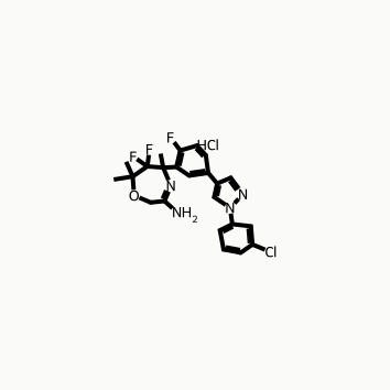 CC1(C)OCC(N)=NC(C)(c2cc(-c3cnn(-c4cccc(Cl)c4)c3)ccc2F)C1(F)F.Cl